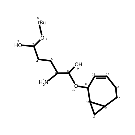 CC(C)(C)OC(O)CCC(N)C(O)OC1C=CCCC2CC21